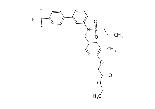 CCCS(=O)(=O)N(Cc1ccc(OCC(=O)OCC)c(C)c1)c1cccc(-c2ccc(C(F)(F)F)cc2)c1